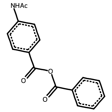 CC(=O)Nc1ccc(C(=O)OC(=O)c2ccccc2)cc1